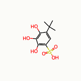 CC(C)(C)c1cc(S(=O)(=O)O)c(O)c(O)c1O